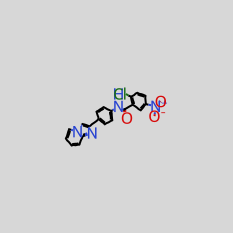 O=C(Nc1ccc(-c2cn3ccccc3n2)cc1)c1cc([N+](=O)[O-])ccc1Cl